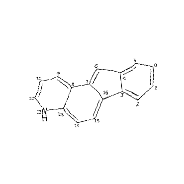 c1ccc2c(c1)cc1c3ccc[nH]c3ccc21